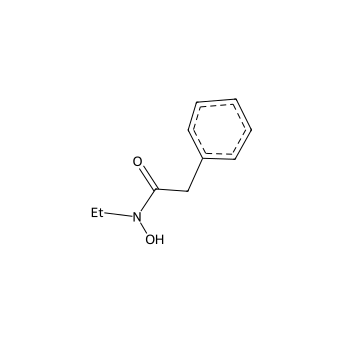 [CH2]CN(O)C(=O)Cc1ccccc1